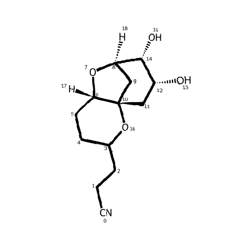 N#CCCC1CC[C@@H]2O[C@@H]3C[C@]2(C[C@@H](O)[C@H]3O)O1